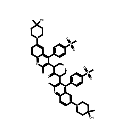 Cc1nc2ccc(N3CCC(C)(O)CC3)cc2c(-c2ccc(S(C)(=O)=O)cc2)c1C(CF)C(=O)C(CF)c1c(C)nc2ccc(N3CCC(C)(O)CC3)cc2c1-c1ccc(S(C)(=O)=O)cc1